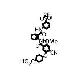 COc1cc(C#N)c(OC2CCC(C(=O)O)CC2)cc1C(=O)NC1C2CCC(C2)C1C(=O)Nc1cccc(S(=O)(=O)C(F)(F)F)c1